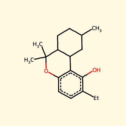 CCc1ccc2c(c1O)C1CC(C)CCC1C(C)(C)O2